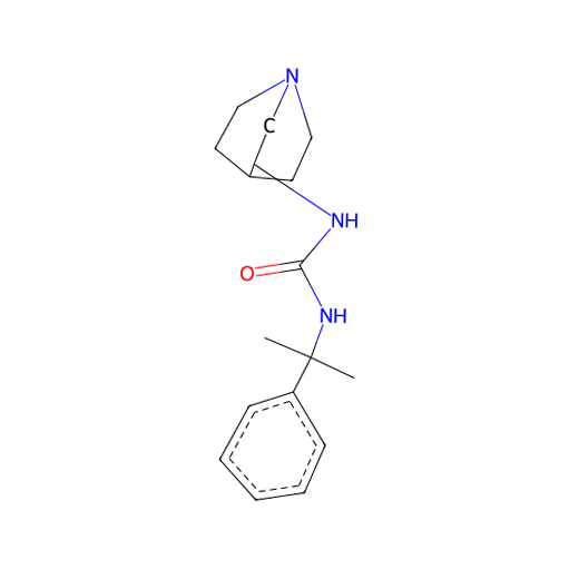 CC(C)(NC(=O)NC1CN2CCC1CC2)c1ccccc1